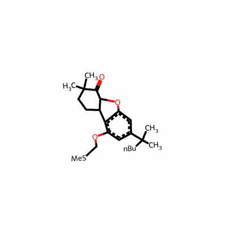 CCCCC(C)(C)c1cc(OCSC)c2c(c1)OC1C(=O)C(C)(C)CCC21